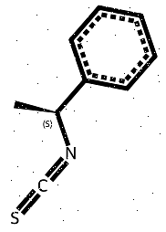 C[C@H](N=C=S)c1ccccc1